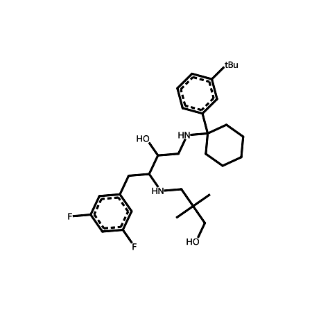 CC(C)(CO)CNC(Cc1cc(F)cc(F)c1)C(O)CNC1(c2cccc(C(C)(C)C)c2)CCCCC1